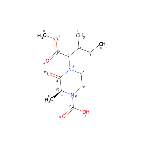 CCC(C)C(C(=O)OC)N1CCN(C(=O)O)[C@@H](C)C1=O